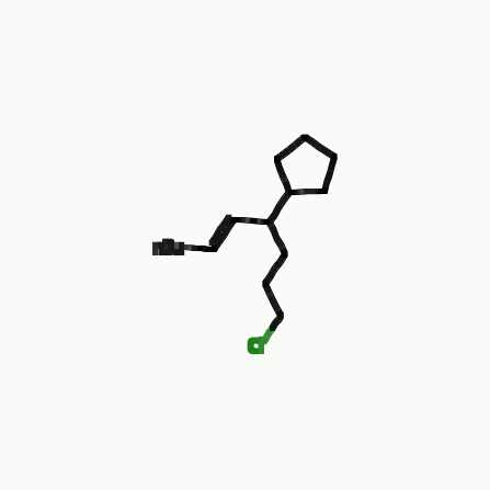 CCCCC=CC(CCCCl)C1CCCC1